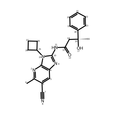 Cc1nc2c(cc1C#N)nc(NC(=O)C[C@](C)(O)c1ccccc1)n2C1CCC1